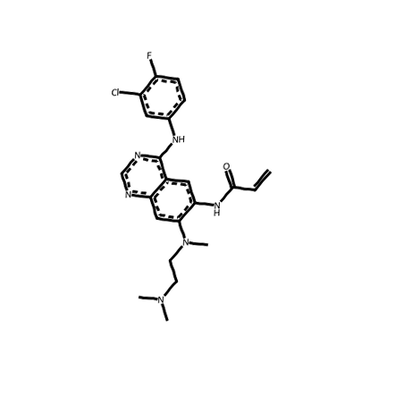 C=CC(=O)Nc1cc2c(Nc3ccc(F)c(Cl)c3)ncnc2cc1N(C)CCN(C)C